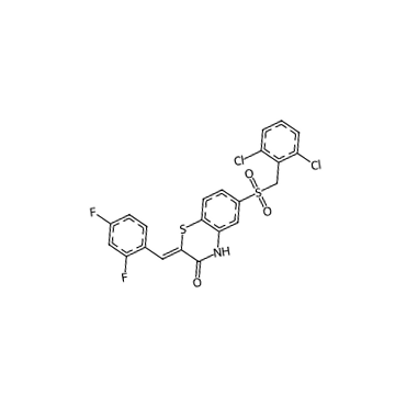 O=C1Nc2cc(S(=O)(=O)Cc3c(Cl)cccc3Cl)ccc2SC1=Cc1ccc(F)cc1F